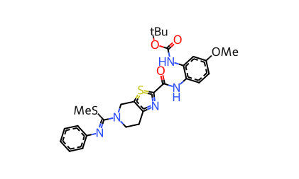 COc1ccc(NC(=O)c2nc3c(s2)CN(/C(=N/c2ccccc2)SC)CC3)c(NC(=O)OC(C)(C)C)c1